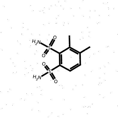 Cc1ccc(S(N)(=O)=O)c(S(N)(=O)=O)c1C